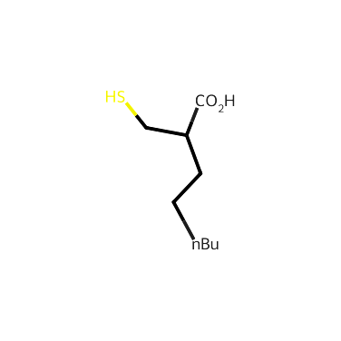 CCCCCCC(CS)C(=O)O